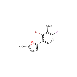 COc1c(I)ccc(-c2ccc(C)o2)c1Br